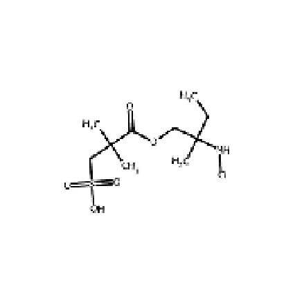 CCC(C)(COC(=O)C(C)(C)CS(=O)(=O)O)NCl